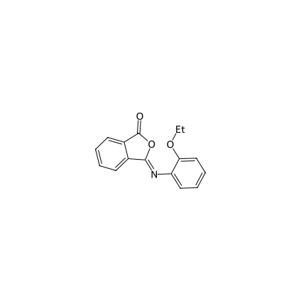 CCOc1ccccc1N=C1OC(=O)c2ccccc21